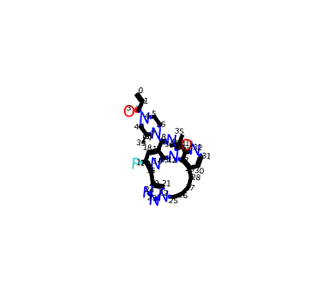 C=CC(=O)N1CCN(c2nc(=O)n3c4nc(c(F)cc24)-c2cn(nn2)CCCCc2ccnc(C(C)C)c2-3)[C@@H](C)C1